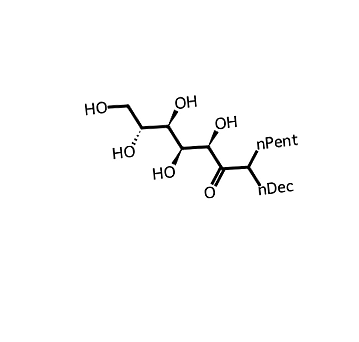 CCCCCCCCCCC(CCCCC)C(=O)[C@H](O)[C@@H](O)[C@H](O)[C@H](O)CO